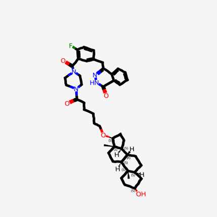 C[C@]12CC[C@H](O)C[C@@H]1CC[C@@H]1[C@@H]2CC[C@]2(C)[C@@H](OCCCCCC(=O)N3CCN(C(=O)c4cc(Cc5n[nH]c(=O)c6ccccc56)ccc4F)CC3)CC[C@@H]12